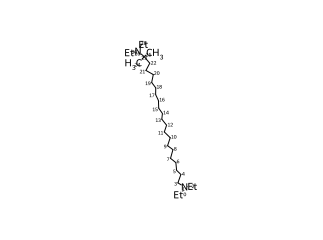 CCN(CC)CCCCCCCCCCCCCCCCCCCCC(C)(C)N(CC)CC